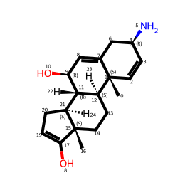 C[C@]12C=C[C@H](N)CC1=C[C@H](O)[C@@H]1[C@@H]2CC[C@]2(C)C(O)=CC[C@@H]12